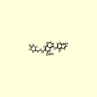 COc1cc2c(Oc3ccc4[nH]ccc4c3F)ncnc2cc1OCCC1CCN(C)CC1